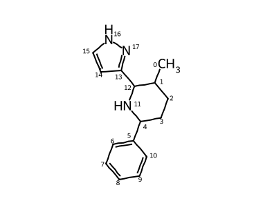 CC1CCC(c2ccccc2)NC1c1[c]c[nH]n1